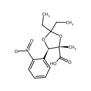 CCC1(CC)O[C@H](c2ccccc2[N+](=O)[O-])[C@@](C)(C(=O)O)O1